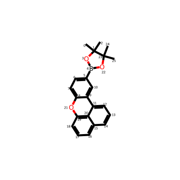 CC1(C)OB(c2ccc3c(c2)-c2cccc4cccc(c24)O3)OC1(C)C